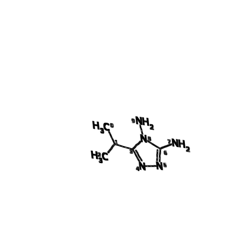 CC(C)c1nnc(N)n1N